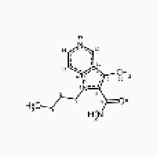 CCCCn1c(C(N)=O)c(C)c2cnccc21